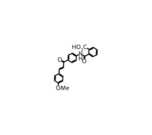 COc1ccc(/C=C/C(=O)c2ccc(NC(=O)c3ccccc3C(=O)O)cc2)cc1